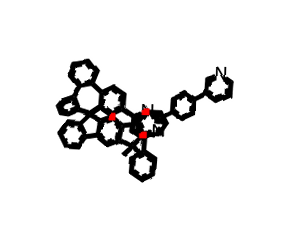 CC1(C)c2ccccc2-c2cc3c(cc21)-c1ccccc1C31c2ccccc2-c2ccccc2-c2ccc(-c3cc(-c4ccccc4)nc(-c4ccc(-c5cccnc5)cc4)n3)cc21